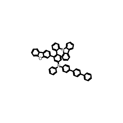 c1ccc(-c2ccc(-c3ccc(N(c4ccccc4)c4ccc(-c5ccccc5-n5c6ccccc6c6ccccc65)c(-c5ccc6c(c5)oc5ccccc56)c4)cc3)cc2)cc1